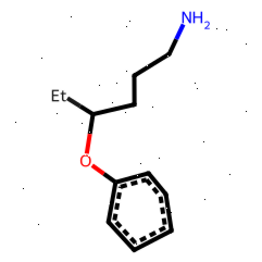 CCC(CCCN)Oc1ccccc1